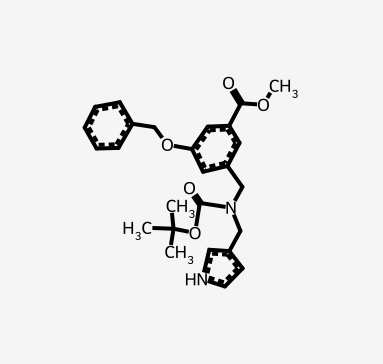 COC(=O)c1cc(CN(Cc2cc[nH]c2)C(=O)OC(C)(C)C)cc(OCc2ccccc2)c1